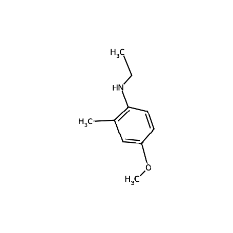 CCNc1ccc(OC)cc1C